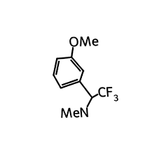 CNC(c1cccc(OC)c1)C(F)(F)F